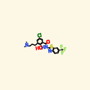 CN(C)CCCc1cc(Cl)cc(C(=O)Nc2nc3ccc(C(F)(F)F)cc3s2)c1O